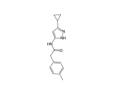 Cc1ccc(CC(=O)Nc2cc(C3CC3)n[nH]2)cc1